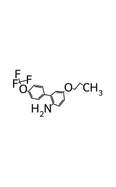 CCCOc1ccc(N)c(-c2ccc(OC(F)(F)F)cc2)c1